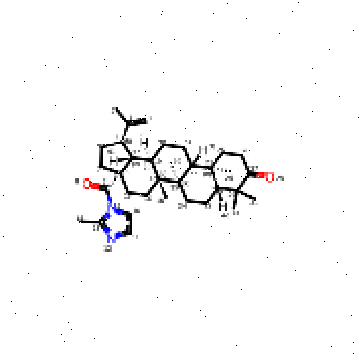 C=C(C)[C@@H]1CC[C@]2(C(=O)n3ccnc3C)CC[C@]3(C)[C@H](CC[C@@H]4[C@@]5(C)CCC(=O)C(C)(C)[C@@H]5CC[C@]43C)[C@@H]12